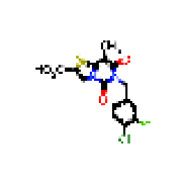 Cc1c(=O)n(Cc2ccc(Cl)c(F)c2)c(=O)n2cc(C(=O)O)sc12